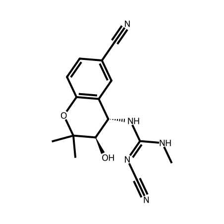 CNC(=NC#N)N[C@H]1c2cc(C#N)ccc2OC(C)(C)[C@@H]1O